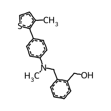 Cc1ccsc1-c1ccc(N(C)Cc2ccccc2CO)cc1